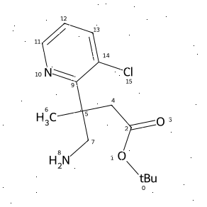 CC(C)(C)OC(=O)CC(C)(CN)c1ncccc1Cl